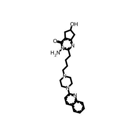 Nn1c(CCCCN2CCN(c3ccc4ccccc4n3)CC2)nc2c(c1=O)CC(O)C2